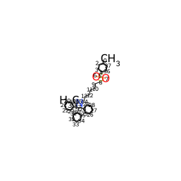 Cc1ccc(S(=O)(=O)C[CH]CCCCCN(C)C(c2ccccc2)(c2ccccc2)c2ccccc2)cc1